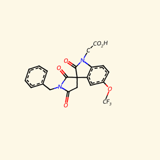 O=C(O)CN1C(=O)C2(CC(=O)N(Cc3ccccc3)C2=O)c2cc(OC(F)(F)F)ccc21